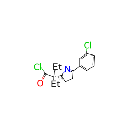 CCC(CC)(C(=O)Cl)[C@H]1CCC(c2cccc(Cl)c2)=N1